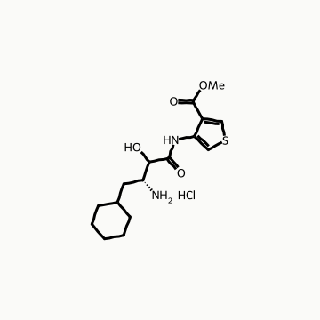 COC(=O)c1cscc1NC(=O)C(O)[C@H](N)CC1CCCCC1.Cl